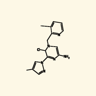 Cc1cnn(C2=NC(N)=CN(Cc3ncccc3C)C2Cl)c1